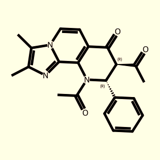 CC(=O)[C@@H]1C(=O)c2ccn3c(C)c(C)nc3c2N(C(C)=O)[C@H]1c1ccccc1